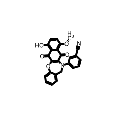 COc1ccc(O)c2c1C(=O)C1=C(Oc3ccccc3CN1c1cccc(C#N)c1)C2=O